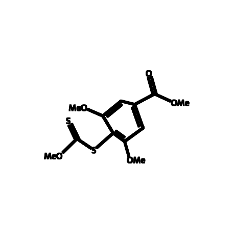 COC(=O)c1cc(OC)c(SC(=S)OC)c(OC)c1